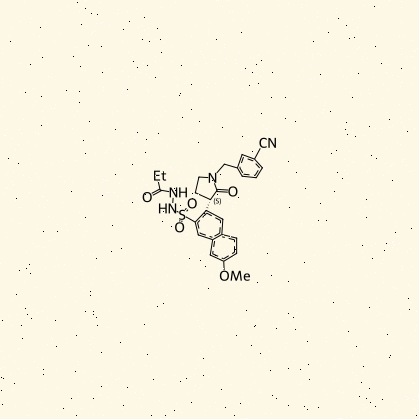 CCC(=O)NNS(=O)(=O)c1cc2cc(OC)ccc2cc1[C@@H]1CCN(Cc2cccc(C#N)c2)C1=O